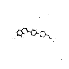 CCCC1CCN(c2ccc(C3=CCc4ccc(O)c(O)c4O3)cc2)CC1